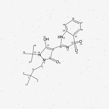 CC(C)(C)CCn1c(=O)c(C2=NS(=O)(=O)c3ccccc3N2)c(O)n1C(C)(C)C